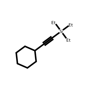 CC[Si](C#CC1CCCCC1)(CC)CC